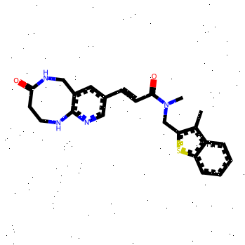 Cc1c(CN(C)C(=O)/C=C/c2cnc3c(c2)CNC(=O)CCN3)sc2ccccc12